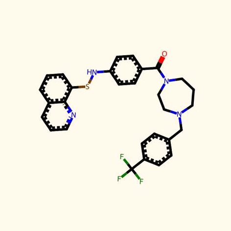 O=C(c1ccc(NSc2cccc3cccnc23)cc1)N1CCCN(Cc2ccc(C(F)(F)F)cc2)CC1